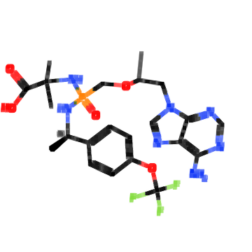 CC(Cn1cnc2c(N)ncnc21)OCP(=O)(N[C@H](C)c1ccc(OC(F)(F)F)cc1)NC(C)(C)C(=O)O